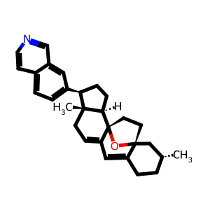 C[C@@H]1CCC2=CC3=CC[C@]4(C)[C@@H](c5ccc6ccncc6c5)CC[C@H]4[C@@]34CC[C@]2(C1)O4